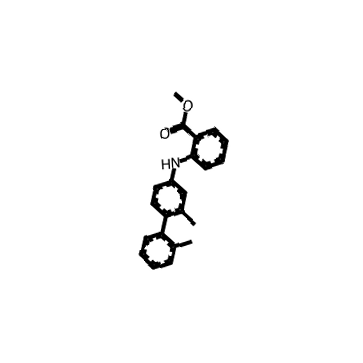 COC(=O)c1ccccc1Nc1ccc(-c2ccccc2C)c(C)c1